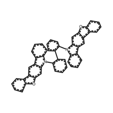 c1ccc(-n2c3ccccc3c3cc4c(cc32)oc2ccccc24)c(-c2ccccc2-n2c3ccccc3c3cc4c(cc32)oc2ccccc24)c1